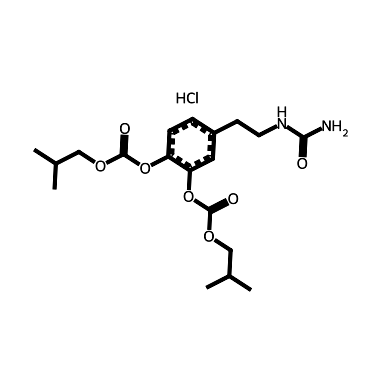 CC(C)COC(=O)Oc1ccc(CCNC(N)=O)cc1OC(=O)OCC(C)C.Cl